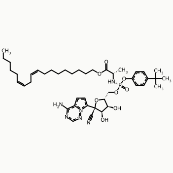 CCCCC/C=C\C/C=C\CCCCCCCCOC(=O)[C@H](C)N[P@](=O)(OC[C@H]1O[C@@](C#N)(c2ccc3c(N)ncnn23)[C@H](O)[C@@H]1O)Oc1ccc(C(C)(C)C)cc1